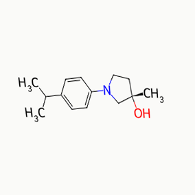 CC(C)c1ccc(N2CC[C@](C)(O)C2)cc1